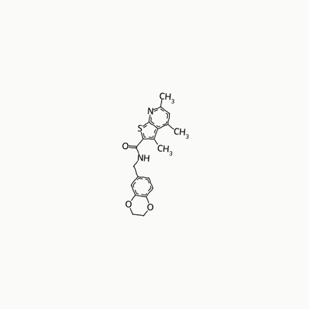 Cc1cc(C)c2c(C)c(C(=O)NCc3ccc4c(c3)OCCO4)sc2n1